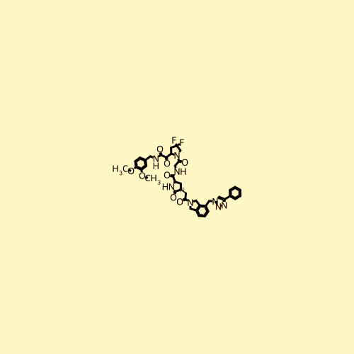 COc1ccc(CNC(=O)C(=O)C2CC(F)(F)CN2C(=O)CNC(=O)C2C[C@@H](CC(=O)N3Cc4cccc(Cn5cc(-c6ccccc6)nn5)c4C3)C(=O)N2)cc1OC